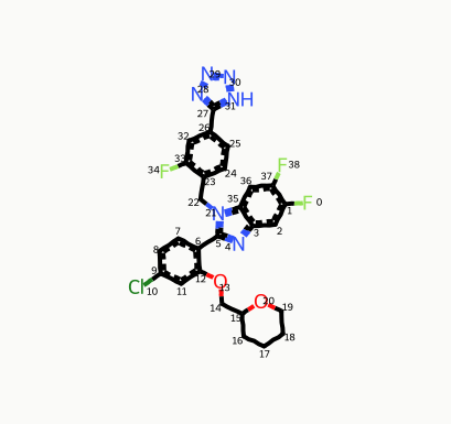 Fc1cc2nc(-c3ccc(Cl)cc3OCC3CCCCO3)n(Cc3ccc(-c4nnn[nH]4)cc3F)c2cc1F